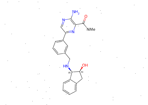 CNC(=O)c1nc(-c2cccc(CN[C@@H]3c4ccccc4C[C@@H]3O)c2)cnc1N